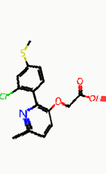 CSc1ccc(-c2nc(C)ccc2OCC(=O)O)c(Cl)c1